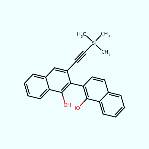 C[Si](C)(C)C#Cc1cc2ccccc2c(O)c1-c1ccc2ccccc2c1O